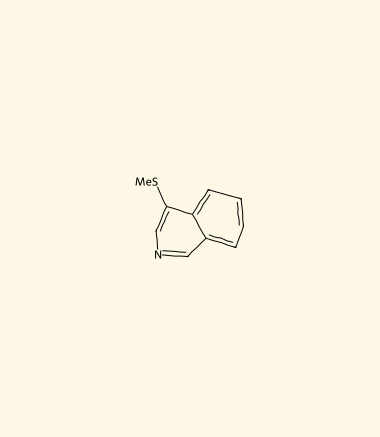 CSc1cncc2ccccc12